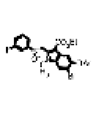 CCOC(=O)c1c(C[S@@+]([O-])c2cccc(F)c2)n(C)c2cc(Br)c(OC(C)=O)cc12